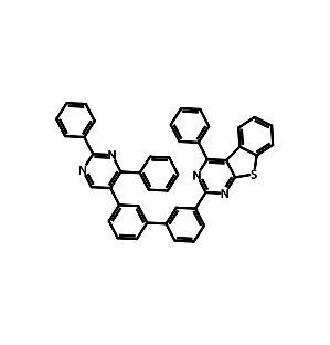 c1ccc(-c2ncc(-c3cccc(-c4cccc(-c5nc(-c6ccccc6)c6c(n5)sc5ccccc56)c4)c3)c(-c3ccccc3)n2)cc1